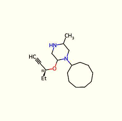 C#C[C@H](CC)OC1CNC(C)CN1C1CCCCCCCC1